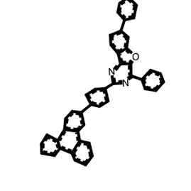 c1ccc(-c2ccc3c(c2)oc2c(-c4ccccc4)nc(-c4ccc(-c5ccc6c7ccccc7c7ccccc7c6c5)cc4)nc23)cc1